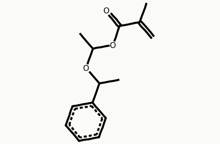 C=C(C)C(=O)OC(C)OC(C)c1ccccc1